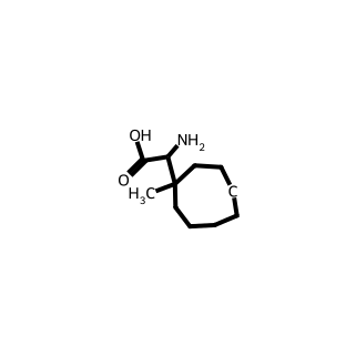 CC1(C(N)C(=O)O)CCCCCCC1